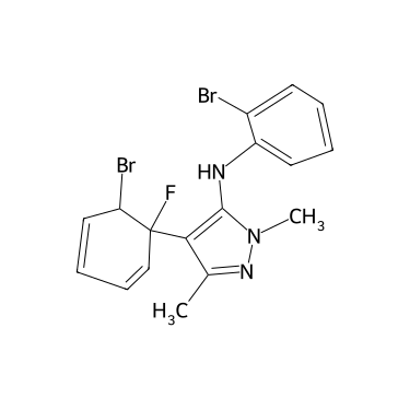 Cc1nn(C)c(Nc2ccccc2Br)c1C1(F)C=CC=CC1Br